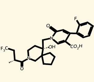 C[C@H](CC(F)(F)F)C(=O)N1CC[C@@](O)(Cn2cc(C(=O)O)c(-c3ccccc3F)cc2=O)C2(CCCC2)C1